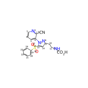 N#Cc1ncccc1-n1nc(CCNC(=O)O)cc1S(=O)(=O)c1ccccc1